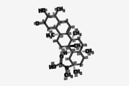 CC1=C(O)C(=O)C=C2C1=CC=C1[C@@]2(C)CC[C@@]2(C)[C@@H]3C[C@](C)(N(C)C(=O)O)CC[C@]3(C)CC[C@]12C